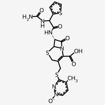 Cc1cc[n+]([O-])nc1SCC1=C(C(=O)O)N2C(=O)[C@@H](NC(=O)C(NC(N)=O)c3cccs3)C2SC1